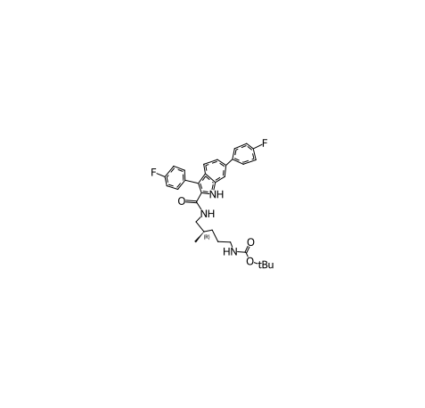 C[C@H](CCCNC(=O)OC(C)(C)C)CNC(=O)c1[nH]c2cc(-c3ccc(F)cc3)ccc2c1-c1ccc(F)cc1